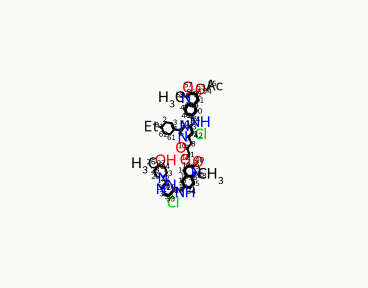 CCC1CC=C(c2nc(CC(=O)COc3cc4cc(Nc5nc(N6CCC(C)(O)CC6)ncc5Cl)ccc4n(C)c3=O)c(Cl)c(Nc3ccc4c(c3)cc(OCC(C)=O)c(=O)n4C)n2)CC1